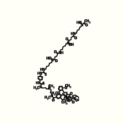 COc1cccc(OC)c1-c1cc(C(=O)NC2(C(=O)O)C3CC4CC(C3)CC2C4)nn1-c1ccc(C(=O)N(C)CCCN(C)CCCN(C)C(=S)Nc2ccc(NC(=S)NCCCCCN(O)C(=O)CCC(=O)NCCCCCN(O)C(=O)CCC(=O)NCCCCCN(O)C(C)=O)cc2)cc1C(C)C